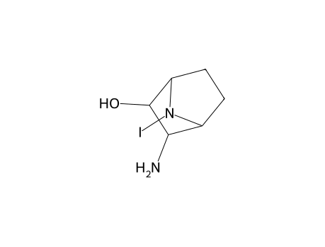 NC1C(O)C2CCC1N2I